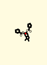 CC1CC2C3NC(C(OC(=O)c4ccccc4)C3OC(=O)c3ccccc3)C2C1C